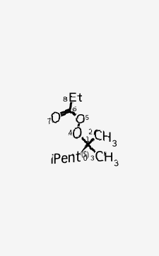 CCC[C@H](C)C(C)(C)OOC(=O)CC